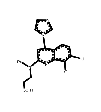 CC(C)N(CCS(=O)(=O)O)c1cc(-n2ccnc2)c2ccc(Cl)c(Cl)c2n1